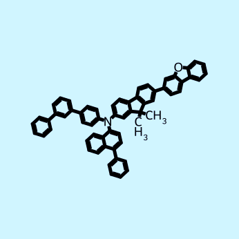 CC1(C)c2cc(-c3ccc4c(c3)oc3ccccc34)ccc2-c2ccc(N(c3ccc(-c4cccc(-c5ccccc5)c4)cc3)c3ccc(-c4ccccc4)c4ccccc34)cc21